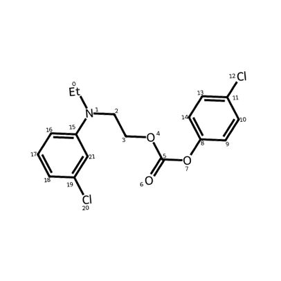 CCN(CCOC(=O)Oc1ccc(Cl)cc1)c1cccc(Cl)c1